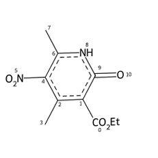 CCOC(=O)c1c(C)c([N+](=O)[O-])c(C)[nH]c1=O